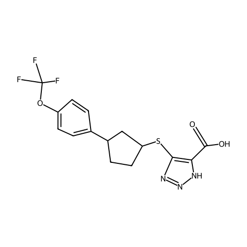 O=C(O)c1[nH]nnc1SC1CCC(c2ccc(OC(F)(F)F)cc2)C1